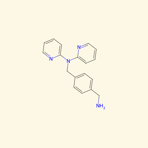 NCc1ccc(CN(c2ccccn2)c2ccccn2)cc1